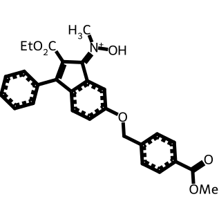 CCOC(=O)C1=C(c2ccccc2)c2ccc(OCc3ccc(C(=O)OC)cc3)cc2/C1=[N+](/C)O